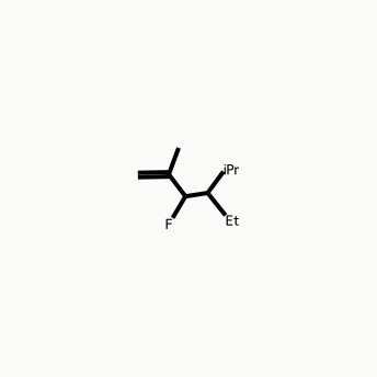 C=C(C)C(F)C(CC)C(C)C